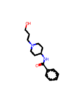 O=C(NC1CCN(CCCO)CC1)c1ccccc1